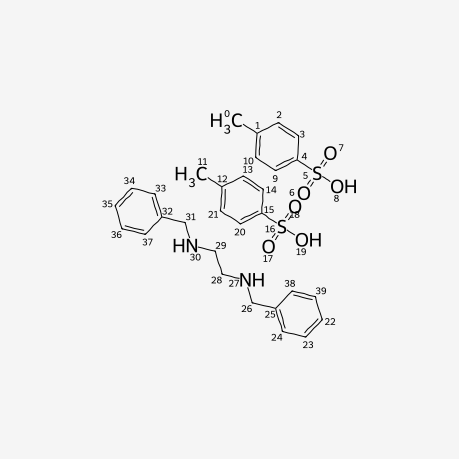 Cc1ccc(S(=O)(=O)O)cc1.Cc1ccc(S(=O)(=O)O)cc1.c1ccc(CNCCNCc2ccccc2)cc1